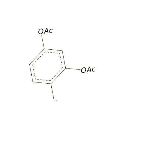 [CH2]c1ccc(OC(C)=O)cc1OC(C)=O